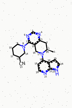 C[C@@H]1Cc2ncnc(N3CCCC(C#N)C3)c2CN1c1ccnc2[nH]ccc12